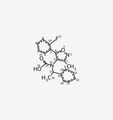 Cc1noc(-c2ccccc2F)c1N(C(=O)O)C(C)c1ccccc1